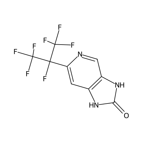 O=c1[nH]c2cnc(C(F)(C(F)(F)F)C(F)(F)F)cc2[nH]1